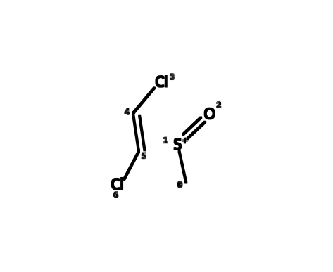 C[S+]=O.ClC=CCl